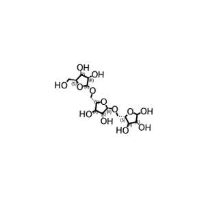 OC[C@@H]1O[C@@H](OC[C@@H]2O[C@@H](OC[C@@H]3OC(O)[C@H](O)[C@H]3O)[C@H](O)[C@H]2O)[C@H](O)[C@H]1O